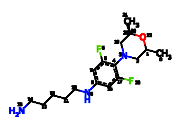 CC1CN(c2c(F)cc(NCCCCCN)cc2F)C[C@@H](C)O1